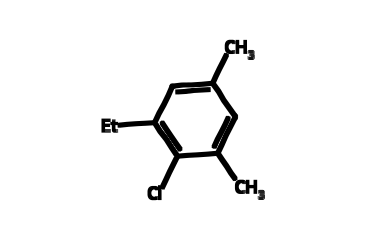 CCc1cc(C)cc(C)c1Cl